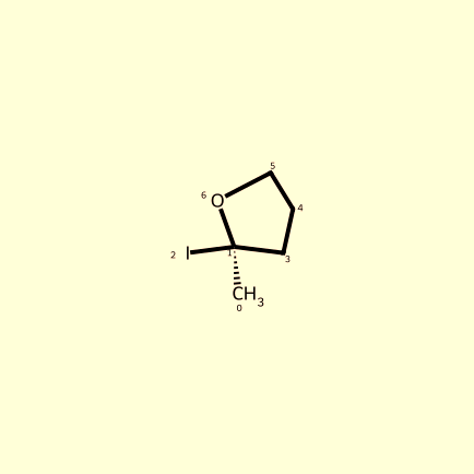 C[C@@]1(I)CCCO1